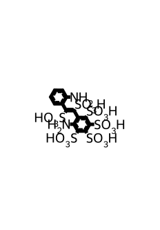 Nc1ccccc1C(=C(c1c(N)c(S(=O)(=O)O)c(S(=O)(=O)O)c(S(=O)(=O)O)c1S(=O)(=O)O)S(=O)(=O)O)S(=O)(=O)O